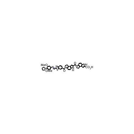 COc1cc(N2CCCC2)c(OC)cc1/N=N/c1nc2ccc(C(=O)N3CCc4c3ccc3[nH]c(C(=O)N5CCc6c5ccc5[nH]c(C(=O)O)cc65)cc43)cc2s1